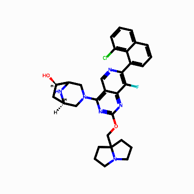 O[C@@H]1C[C@@H]2CN(c3nc(OCC45CCCN4CCC5)nc4c(F)c(-c5cccc6cccc(Cl)c56)ncc34)CC1N2